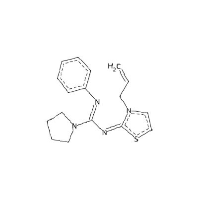 C=CCn1ccs/c1=N/C(=N/c1ccccc1)N1CCCC1